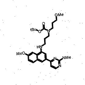 CNc1nccc(-c2cc(NCCCN(CCCOC)C(=O)OC(C)(C)C)c3cc(OC)ccc3c2)n1